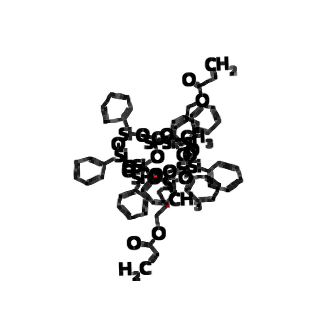 C=CC(=O)OCCC[Si]1(C)O[Si]2(c3ccccc3)O[Si]3(c4ccccc4)O[Si]4(c5ccccc5)O[Si](C)(CCCOC(=O)C=C)O[Si]5(c6ccccc6)O[Si](c6ccccc6)(O[Si](c6ccccc6)(O1)O[Si](c1ccccc1)(O5)O[Si](c1ccccc1)(O2)O4)O3